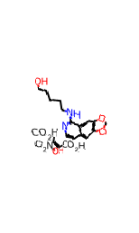 O=C(O)/C=C\C(=O)O.O=[N+]([O-])O.OCCCCCNc1nccc2cc3c(cc12)OCO3